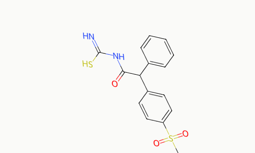 CS(=O)(=O)c1ccc(C(C(=O)NC(=N)S)c2ccccc2)cc1